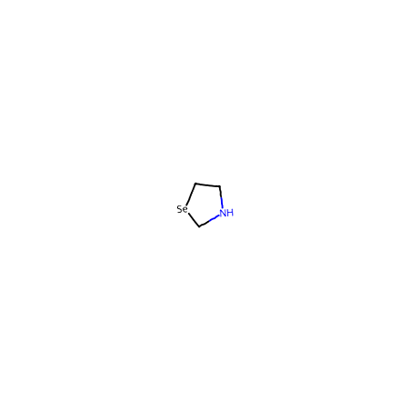 C1C[Se]CN1